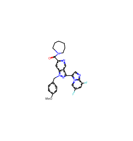 COc1ccc(Cn2nc(-c3cnc4c(F)cc(F)cn34)c3cnc(C(=O)N4CCCCCC4)cc32)cc1